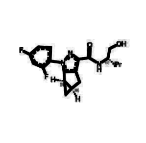 CC(C)[C@@H](CO)NC(=O)c1nn(-c2ccc(F)cc2F)c2c1C[C@H]1C[C@@H]21